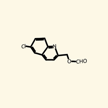 O=COCc1ccc2cc(Cl)ccc2n1